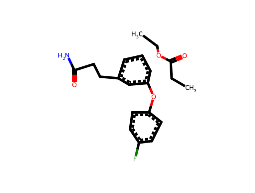 CCOC(=O)CC.NC(=O)CCc1cccc(Oc2ccc(F)cc2)c1